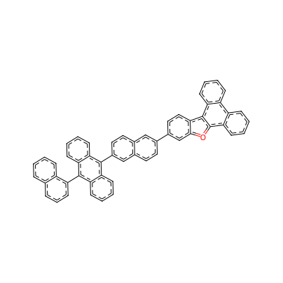 c1ccc2c(-c3c4ccccc4c(-c4ccc5cc(-c6ccc7c(c6)oc6c8ccccc8c8ccccc8c76)ccc5c4)c4ccccc34)cccc2c1